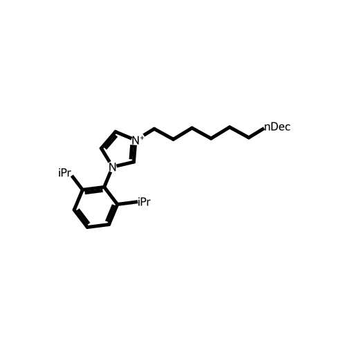 CCCCCCCCCCCCCCCC[n+]1ccn(-c2c(C(C)C)cccc2C(C)C)c1